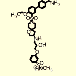 CCOc1ccc(-c2ccc(CN)cc2)cc1S(=O)(=O)N1CCC2(CC1)C[C@@H](NC[C@H](O)COc1cccc(S(=O)(=O)NC)c1)CO2